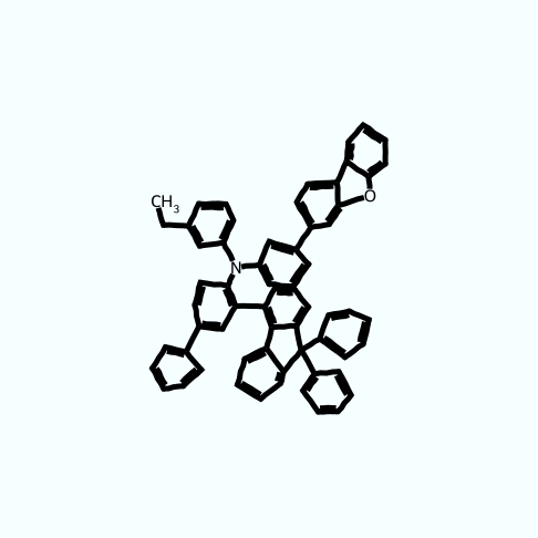 CCc1cccc(N(c2cccc(-c3ccc4c(c3)oc3ccccc34)c2)c2ccc(-c3ccccc3)cc2-c2cccc3c2-c2ccccc2C3(c2ccccc2)c2ccccc2)c1